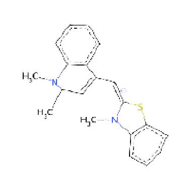 CC1C=C(/C=C2/Sc3ccccc3N2C)c2ccccc2N1C